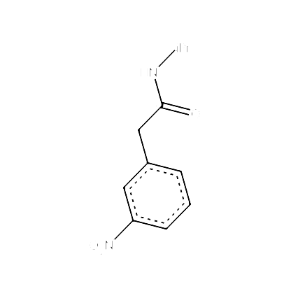 CC(C)NC(=O)Cc1cccc([N+](=O)[O-])c1